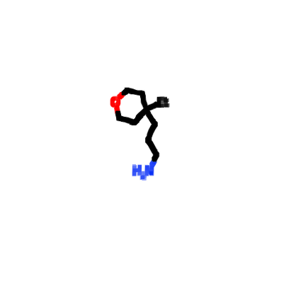 CCC1(CCCN)CCOCC1